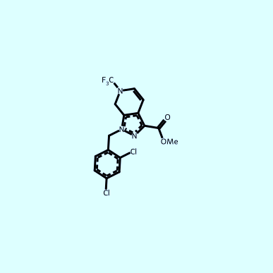 COC(=O)c1nn(Cc2ccc(Cl)cc2Cl)c2c1C=CN(C(F)(F)F)C2